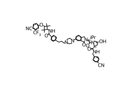 CC(C)[C@H](C(=O)N1C[C@H](O)C[C@H]1C(=O)NCc1ccc(C#N)cc1)N1Cc2ccc(N3CCN(CCCc4ccc(C(=O)NC5C(C)(C)C(Oc6ccc(C#N)c(C(F)(F)F)c6)C5(C)C)cc4)CC3)cc2C1=O